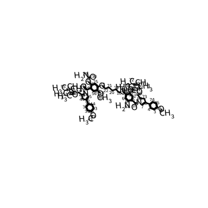 COc1ccc(C2=CN(C(=O)c3cc(OC)c(OCCCCCOc4cc(OC(N)=O)c(C(=O)N5C=C(c6ccc(OC)cc6)CC5CO[Si](C)(C)C(C)(C)C)cc4OC)cc3N)C(CO[Si](C)(C)C(C)(C)C)C2)cc1